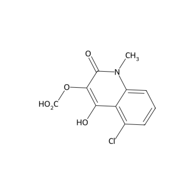 Cn1c(=O)c(OC(=O)O)c(O)c2c(Cl)cccc21